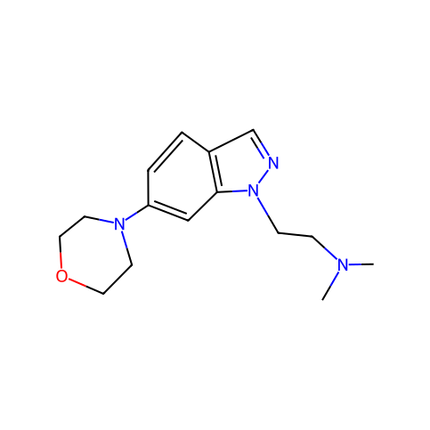 CN(C)CCn1ncc2ccc(N3CCOCC3)cc21